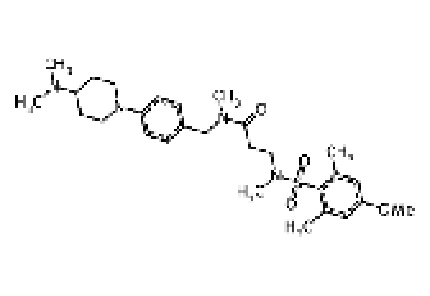 COc1cc(C)c(S(=O)(=O)N(C)CCC(=O)N(C)Cc2ccc(N3CCC(N(C)C)CC3)cc2)c(C)c1